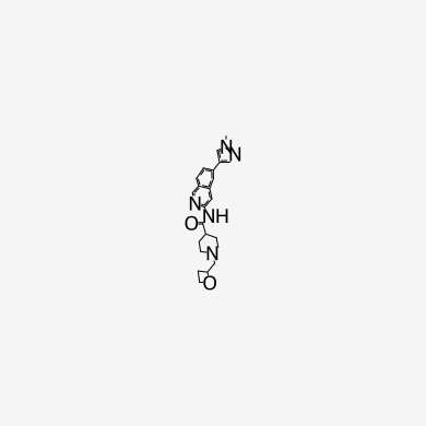 Cn1cc(-c2ccc3cnc(NC(=O)C4CCN(CC5CCO5)CC4)cc3c2)cn1